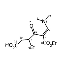 CCOC(=O)C(=CN(C)C)C(=O)C(CC)CC(=O)O